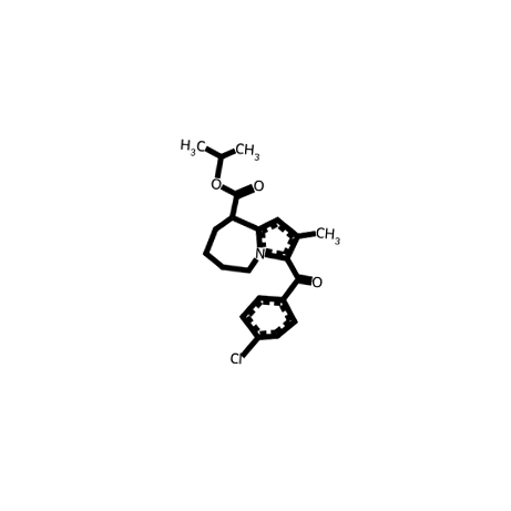 Cc1cc2n(c1C(=O)c1ccc(Cl)cc1)CCCCC2C(=O)OC(C)C